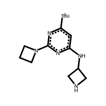 CC(C)(C)c1cc(NC2CNC2)nc(N2CCC2)n1